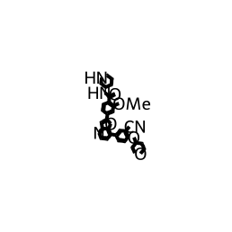 COc1cc(-c2cc3nccc(-c4ccc(OC5CCOCC5)c(C#N)c4)c3o2)ccc1C(=O)N[C@@H]1CCCNC1